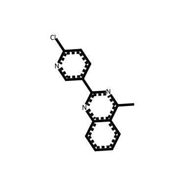 Cc1nc(-c2ccc(Cl)nc2)nc2ccccc12